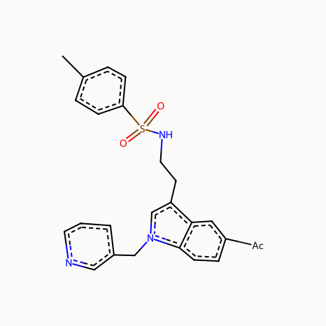 CC(=O)c1ccc2c(c1)c(CCNS(=O)(=O)c1ccc(C)cc1)cn2Cc1cccnc1